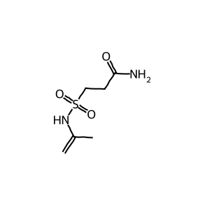 C=C(C)NS(=O)(=O)CCC(N)=O